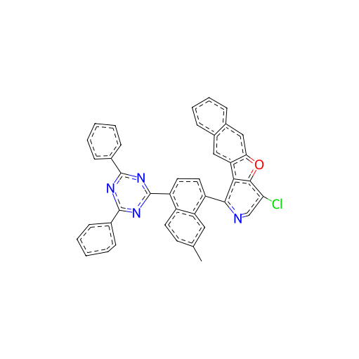 Cc1ccc2c(-c3nc(-c4ccccc4)nc(-c4ccccc4)n3)ccc(-c3ncc(Cl)c4oc5cc6ccccc6cc5c34)c2c1